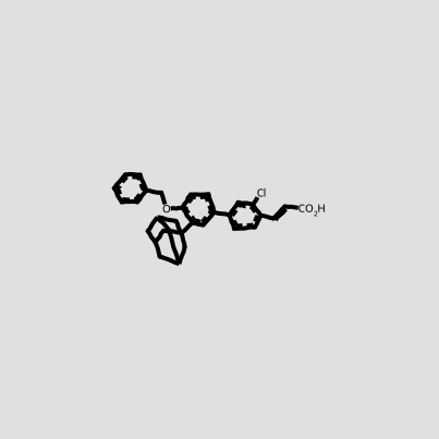 O=C(O)/C=C/c1ccc(-c2ccc(OCc3ccccc3)c(C34CC5CC(CC(C5)C3)C4)c2)cc1Cl